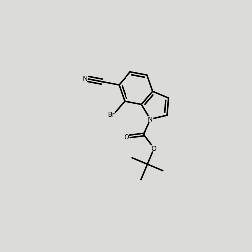 CC(C)(C)OC(=O)n1ccc2ccc(C#N)c(Br)c21